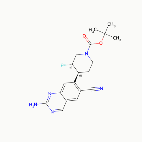 CC(C)(C)OC(=O)N1CC[C@@H](c2cc3nc(N)ncc3cc2C#N)[C@H](F)C1